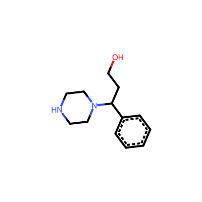 OCCC(c1ccccc1)N1CCNCC1